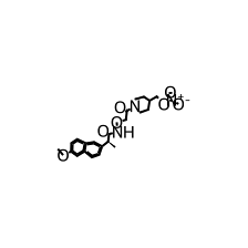 COc1ccc2cc([C@H](C)C(=O)NOCC(=O)N3CCC(CO[N+](=O)[O-])CC3)ccc2c1